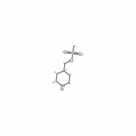 CS(=O)(=O)OCC1CCNCC1